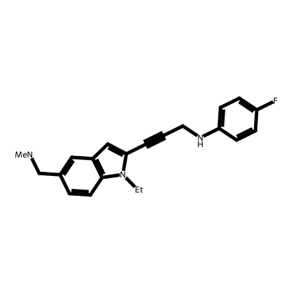 CCn1c(C#CCNc2ccc(F)cc2)cc2cc(CNC)ccc21